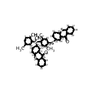 Cc1ccc(C)c(S(C)(c2ccc3sc4ccccc4c(=O)c3c2)c2cc(C)c(Sc3ccc4sc5ccccc5c(=O)c4c3)cc2C)c1